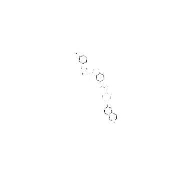 CN(C(=O)c1ccc2c(c1)C(NS(=O)(=O)Cc1cccc(C(F)(F)F)c1)CC2)C1CCN(c2ccc3cnccc3c2)CC1